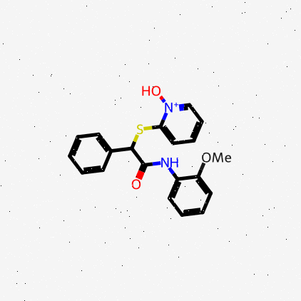 COc1ccccc1NC(=O)C(Sc1cccc[n+]1O)c1ccccc1